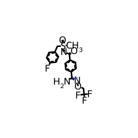 CS(=O)(Cc1ccc(F)cc1)=NC(=O)c1ccc(/C(N)=N/OCC(F)(F)F)cc1